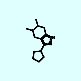 C[C@H]1Cc2[nH]nc(C3CCCO3)c2CN1C